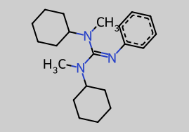 CN(C(=Nc1ccccc1)N(C)C1CCCCC1)C1CCCCC1